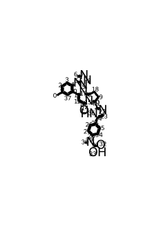 Cc1ccc(-n2cnnn2)c(-c2cc(=O)n3c(n2)CC[C@H]3c2ncc(-c3ccc(N(C)C(=O)O)cc3)[nH]2)c1